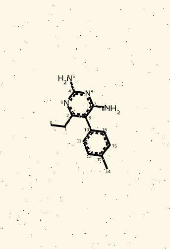 CCc1nc(N)nc(N)c1-c1ccc(C)cc1